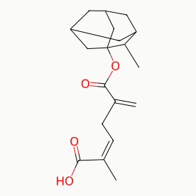 C=C(CC=C(C)C(=O)O)C(=O)OC12CC3CC(CC(C3)C1C)C2